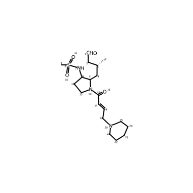 C[C@@H](CC=O)CC1C(NS(C)(=O)=O)CCN1C(=O)C=CCN1CCCCC1